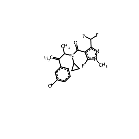 C=C(c1cccc(Cl)c1)C(C)N(C(=O)c1c(C(F)F)nn(C)c1F)C1CC1